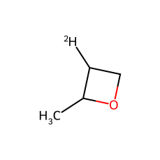 [2H]C1COC1C